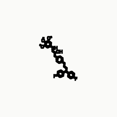 COc1cc(NCC(O)CN2CCN(CCCC(c3ccc(F)cc3)c3ccc(F)cc3)CC2)cc(OC)c1OC